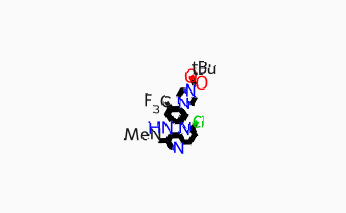 CNCc1cnc2ccc(Cl)nc2c1Nc1ccc(N2CCN(C(=O)OC(C)(C)C)CC2)c(C(F)(F)F)c1